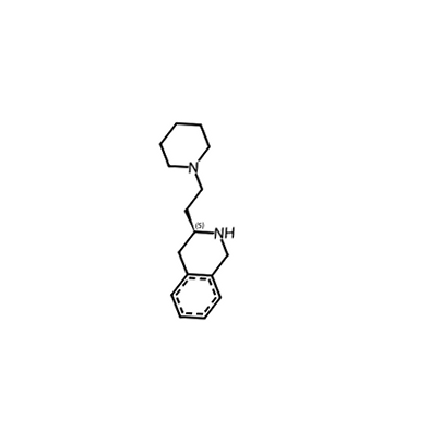 c1ccc2c(c1)CN[C@H](CCN1CCCCC1)C2